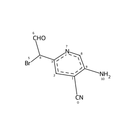 N#Cc1cc(C(Br)C=O)ncc1N